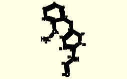 COc1ncccc1CC1=CN=C(NC=O)SC1